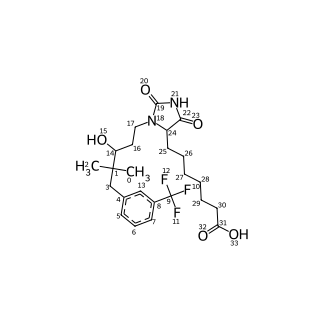 CC(C)(Cc1cccc(C(F)(F)F)c1)C(O)CCN1C(=O)NC(=O)C1CCCCCCC(=O)O